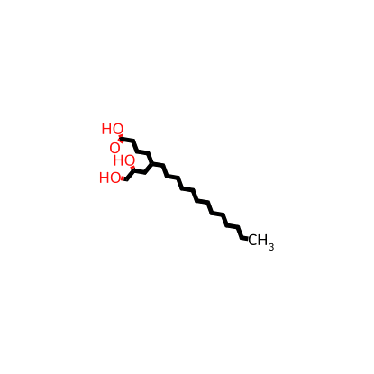 CCCCCCCCCCCCCC(CCCC(=O)O)CC(O)CO